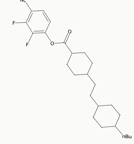 CCCCC1CCC(CCC2CCC(C(=O)Oc3ccc(C#N)c(F)c3F)CC2)CC1